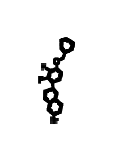 Fc1c(OCc2ccccc2)ccc(-c2ccc3cc(Br)ccc3c2)c1F